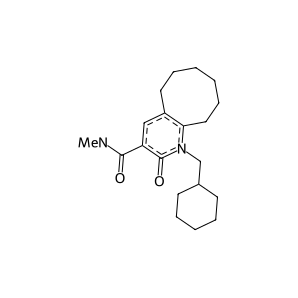 CNC(=O)c1cc2c(n(CC3CCCCC3)c1=O)CCCCCC2